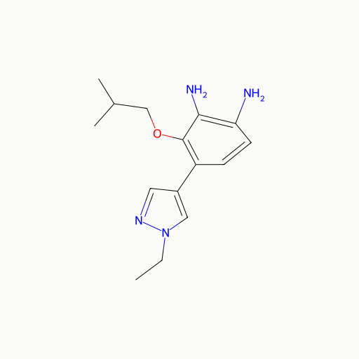 CCn1cc(-c2ccc(N)c(N)c2OCC(C)C)cn1